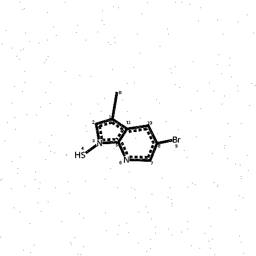 Cc1cn(S)c2ncc(Br)cc12